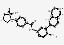 Cc1ccc(NC(=O)c2ccc(N3CCCS3(=O)=O)cc2)cc1-c1ccc2cnccc2n1